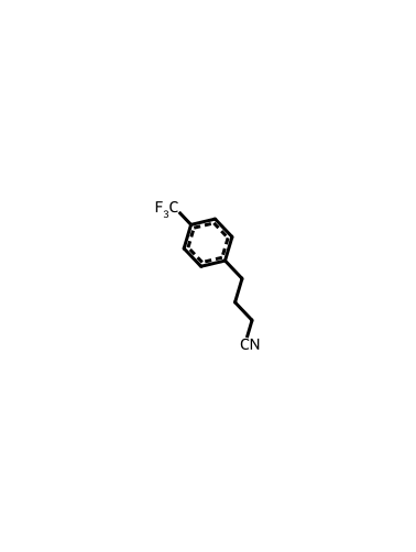 N#CCCCc1ccc(C(F)(F)F)cc1